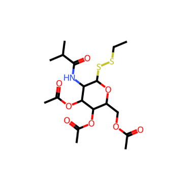 CCSSC1OC(COC(C)=O)C(OC(C)=O)C(OC(C)=O)C1NC(=O)C(C)C